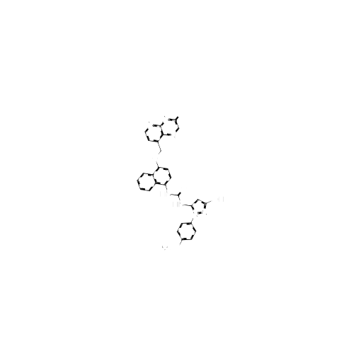 COc1ccc(-n2nc(O)cc2NC(=O)Nc2ccc(OCc3ccnc4[nH]c(=O)cnc34)c3ccccc23)cc1